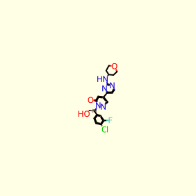 O=c1cc(-c2ccnc(NC3CCOCC3)n2)cnn1[C@H](CO)c1ccc(Cl)c(F)c1